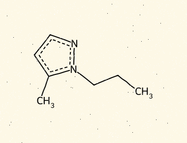 CCCn1nccc1C